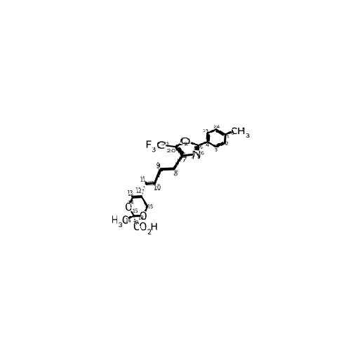 Cc1ccc(-c2nc(CCCC[C@H]3CO[C@@](C)(C(=O)O)OC3)c(C(F)(F)F)o2)cc1